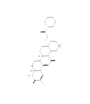 [C-]#[N+]C1=C[C@]2(C)C3=CC(=O)[C@@H]4[C@@H]5CC(C)(C)CC[C@]5(CCC(=O)N5CCCCC5)CC[C@@]4(C)[C@]3(C)CC[C@H]2[C@H](C)C1=O